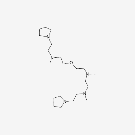 CN(CCOCCN(C)CCN1CCCC1)CCN(C)CCN1CCCC1